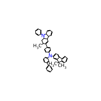 CC1CC2C(C=C1c1ccc(N(c3cccc(-c4ccccc4)c3)c3ccc4c(c3)C(C)(C)c3ccccc3-4)cc1)C1C=CC=CC1N2c1ccccc1